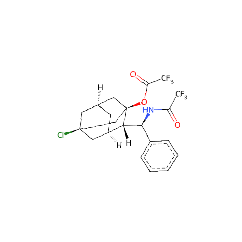 O=C(N[C@@H](c1ccccc1)[C@@H]1[C@@H]2C[C@H]3C[C@@](Cl)(C2)C[C@]1(OC(=O)C(F)(F)F)C3)C(F)(F)F